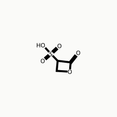 O=C1OCC1S(=O)(=O)O